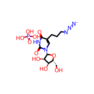 O=P(O)(O)O.[N-]=[N+]=NCCCc1cn([C@@H]2O[C@H](CO)[C@@H](O)[C@H]2O)c(=O)[nH]c1=O